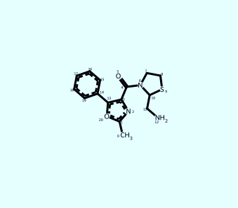 Cc1nc(C(=O)N2CCSC2CN)c(-c2ccccc2)o1